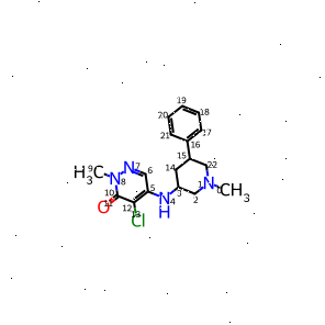 CN1CC(Nc2cnn(C)c(=O)c2Cl)CC(c2ccccc2)C1